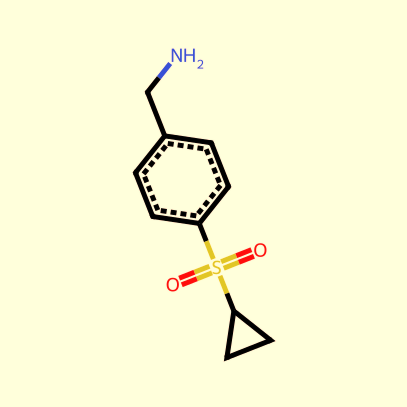 NCc1ccc(S(=O)(=O)C2CC2)cc1